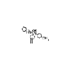 Cc1ccc(NC2(C(=O)NCc3ccccc3)CCNCC2)cc1